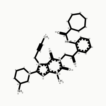 CC#CCn1c(N2CCCC(N)C2)nc2c1c(=O)n(CC(=O)c1ccccc1NC(=O)C1CCCCCC1)c(=O)n2C